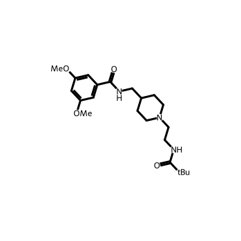 COc1cc(OC)cc(C(=O)NCC2CCN(CCNC(=O)C(C)(C)C)CC2)c1